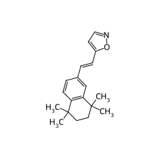 CC1(C)CCC(C)(C)c2cc(C=Cc3ccno3)ccc21